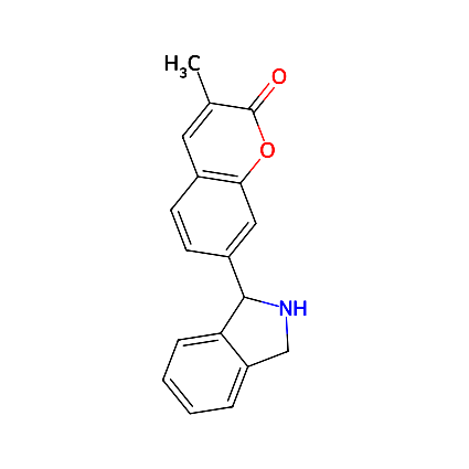 Cc1cc2ccc(C3NCc4ccccc43)cc2oc1=O